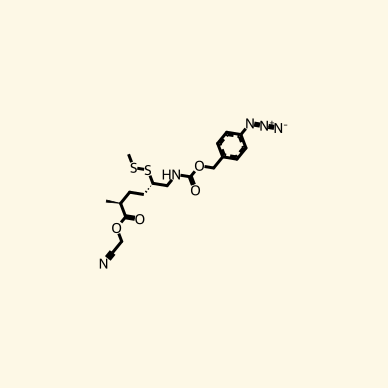 CSS[C@@H](CC[C@H](C)C(=O)OCC#N)CNC(=O)OCc1ccc(N=[N+]=[N-])cc1